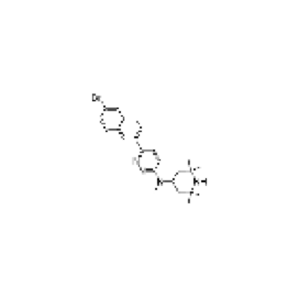 CN(c1ccc(-c2ccc3cc(Br)cnc3c2)nn1)C1CC(C)(C)NC(C)(C)C1